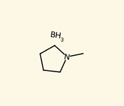 B.CN1CCCC1